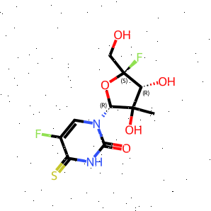 CC1(O)[C@@H](O)[C@@](F)(CO)O[C@H]1n1cc(F)c(=S)[nH]c1=O